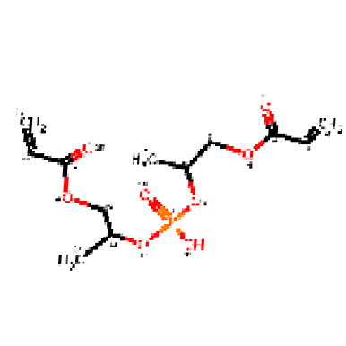 C=CC(=O)OCC(C)OP(=O)(O)OC(C)COC(=O)C=C